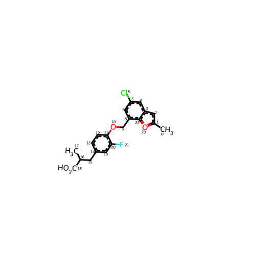 Cc1cc2cc(Cl)cc(COc3ccc(CC(C)C(=O)O)cc3F)c2o1